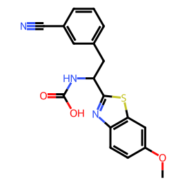 COc1ccc2nc(C(Cc3cccc(C#N)c3)NC(=O)O)sc2c1